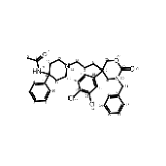 CC(=O)NC1(c2ccccc2)CCN(CCCC2(c3ccc(Cl)c(Cl)c3)COC(=O)N(Cc3ccccc3)C2)CC1